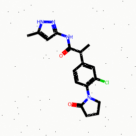 Cc1cc(NC(=O)C(C)c2ccc(N3CCCC3=O)c(Cl)c2)n[nH]1